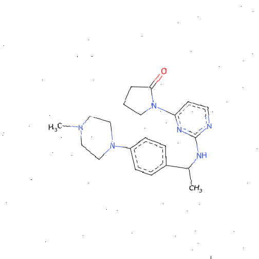 CC(Nc1nccc(N2CCCC2=O)n1)c1ccc(N2CCN(C)CC2)cc1